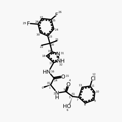 C[C@H](NC(=O)[C@@H](O)c1cccc(Cl)c1)C(=O)Nc1cc(C(C)(C)c2cc(F)cc(F)c2)n[nH]1